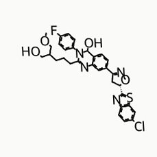 COCC(CO)CCCC1=Nc2cc(C3=NO[C@H](c4nc5ccc(Cl)cc5s4)C3)ccc2C(O)N1c1ccc(F)cc1